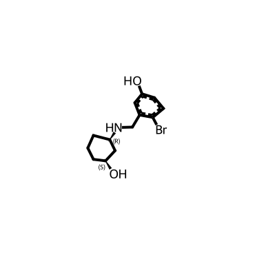 Oc1ccc(Br)c(CN[C@@H]2CCC[C@H](O)C2)c1